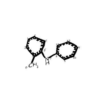 Cc1[c]cccc1Nc1ccccc1